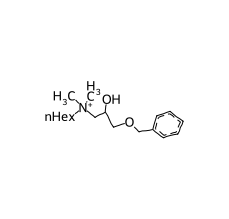 CCCCCC[N+](C)(C)CC(O)COCc1ccccc1